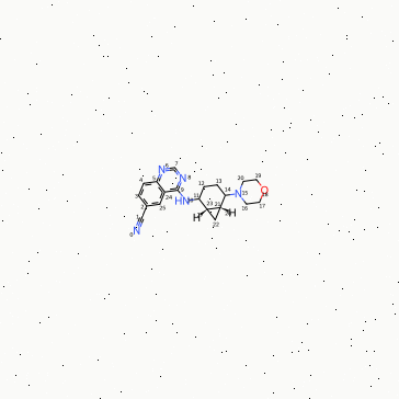 N#Cc1ccc2ncnc(NC3CCC(N4CCOCC4)[C@@H]4C[C@H]34)c2c1